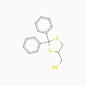 SCC1CSC(c2ccccc2)(c2ccccc2)S1